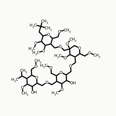 COCC1OC(COCC2C(COC)OCC(COCC3C(COC)OC(CC(C)(C)C)C(OC)C3OC)(OC)C2OC)C(O)C(OC)C1COCC1OC(COC)C(C(C)C)C(OC)C1O